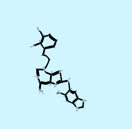 Nc1ncn(CCc2cccc(F)c2F)c2nc(Sc3cc4c(cc3Br)OCO4)nc1-2